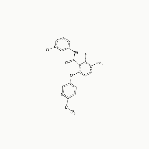 Cc1ccc(Oc2ccc(OC(F)(F)F)nc2)c(C(=O)Nc2ccc[n+]([O-])c2)c1F